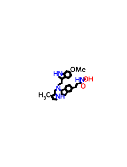 COc1ccc2c(CCN(Cc3[nH]ccc3C)C3CCc4cc(C=CC(=O)NO)ccc43)c[nH]c2c1